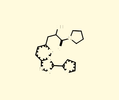 CC(Cc1ccc2nnc(-c3cccs3)n2n1)C(=O)N1CCCC1